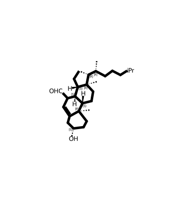 CC(C)CCC[C@@H](C)[C@H]1CC[C@H]2[C@@H]3C(C=O)C=C4C[C@@H](O)CC[C@]4(C)[C@H]3CC[C@]12C